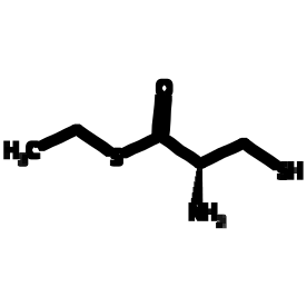 CCSC(=O)[C@@H](N)CS